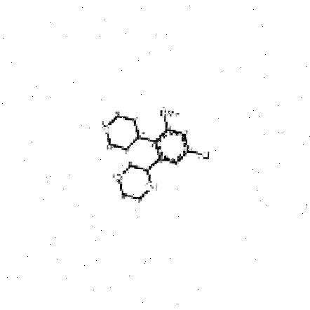 COc1cc(Cl)cc(C2COCCN2)c1C1CCOCC1